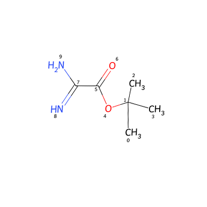 CC(C)(C)OC(=O)C(=N)N